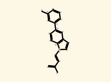 C=C(C)C=Cn1ccc2cc(-c3cccc(C)c3)ccc21